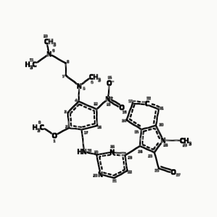 COc1cc(N(C)CCN(C)C)c([N+](=O)[O-])cc1Nc1nccc(-c2c(C=O)n(C)c3ccccc23)n1